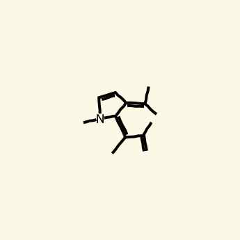 C=C(C)/C(C)=c1\c(=C(C)C)ccn1C